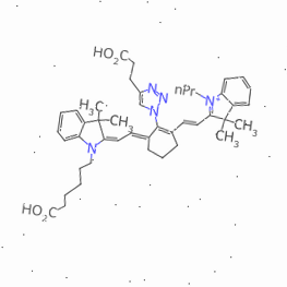 CCC[N+]1=C(/C=C/C2=C(n3cc(CCC(=O)O)nn3)C(=C/C=C3/N(CCCCCC(=O)O)c4ccccc4C3(C)C)/CCC2)C(C)(C)c2ccccc21